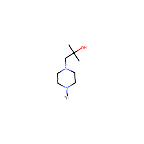 [2H]N1CCN(CC(C)(C)O)CC1